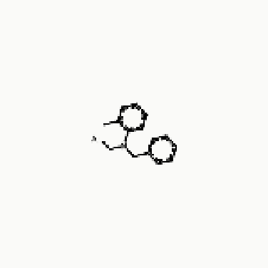 CC(=O)CN(Cc1ccccc1)c1ccccc1C